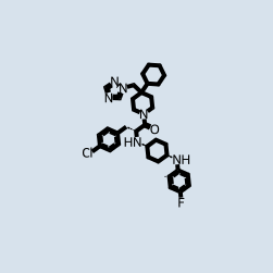 O=C([C@@H](Cc1ccc(Cl)cc1)N[C@H]1CC[C@@H](Nc2[c]cc(F)cc2)CC1)N1CCC(Cn2cncn2)(C2CCCCC2)CC1